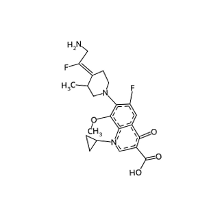 COc1c(N2CC/C(=C(/F)CN)C(C)C2)c(F)cc2c(=O)c(C(=O)O)cn(C3CC3)c12